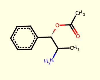 CC(=O)O[C@@H](c1ccccc1)C(C)N